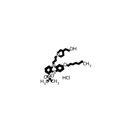 CCCCCCCOc1ccc2c(c1)N(CCCN1CCC(CCO)CC1)c1cccc(S(=O)(=O)N(C)C)c1S2.Cl